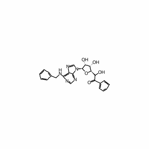 O=C(c1ccccc1)C(O)[C@H]1O[C@@H](n2cnc3c(NCc4ccccc4)ncnc32)[C@H](O)[C@@H]1O